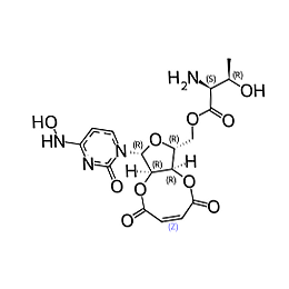 C[C@@H](O)[C@H](N)C(=O)OC[C@H]1O[C@@H](n2ccc(NO)nc2=O)[C@@H]2OC(=O)/C=C\C(=O)O[C@@H]21